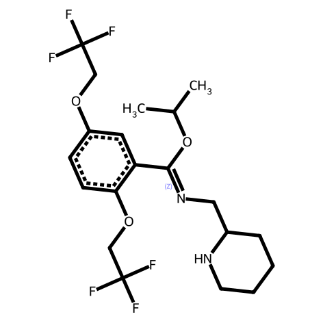 CC(C)O/C(=N\CC1CCCCN1)c1cc(OCC(F)(F)F)ccc1OCC(F)(F)F